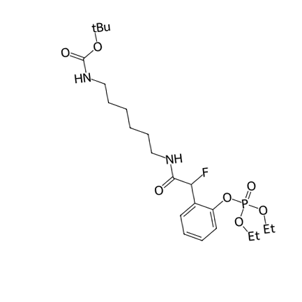 CCOP(=O)(OCC)Oc1ccccc1C(F)C(=O)NCCCCCCNC(=O)OC(C)(C)C